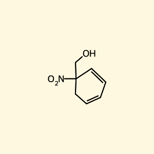 O=[N+]([O-])C1(CO)C=CC=CC1